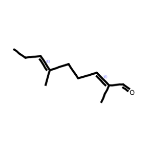 CC/C=C(\C)CC/C=C(\C)C=O